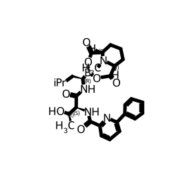 CC(C)C[C@H](NC(=O)[C@@H](NC(=O)c1cccc(-c2ccccc2)n1)[C@@H](C)O)B1OC(=O)[C@H]2CCC[C@@H](C(=O)O1)N2C